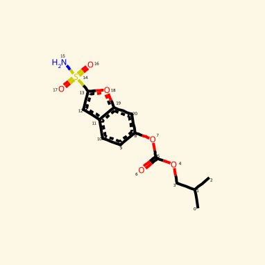 CC(C)COC(=O)Oc1ccc2cc(S(N)(=O)=O)oc2c1